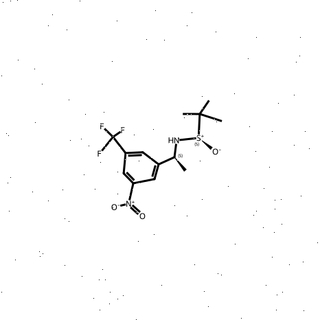 C[C@H](N[S@+]([O-])C(C)(C)C)c1cc([N+](=O)[O-])cc(C(F)(F)F)c1